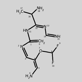 C=C(/N=C\C(=C/N)OC(F)F)N/C(=N\C=N)C(C)N